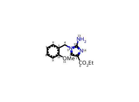 CCOC(=O)c1cn(Cc2ccccc2OC)c(N)n1